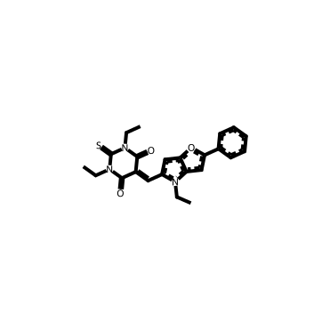 CCN1C(=O)C(=Cc2cc3oc(-c4ccccc4)cc3n2CC)C(=O)N(CC)C1=S